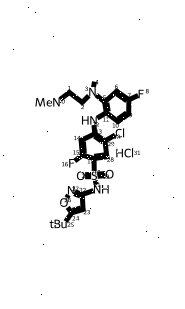 CNCCN(C)c1cc(F)ccc1Nc1cc(F)c(S(=O)(=O)Nc2cc(C(C)(C)C)on2)cc1Cl.Cl